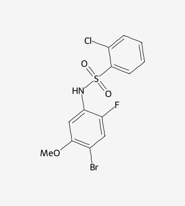 COc1cc(NS(=O)(=O)c2ccccc2Cl)c(F)cc1Br